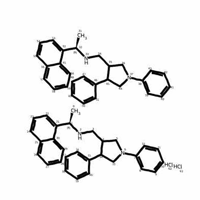 C[C@@H](NCC1CN(c2ccccc2)CC1c1ccccc1)c1cccc2ccccc12.C[C@@H](NCC1CN(c2ccccc2)CC1c1ccccc1)c1cccc2ccccc12.Cl.Cl